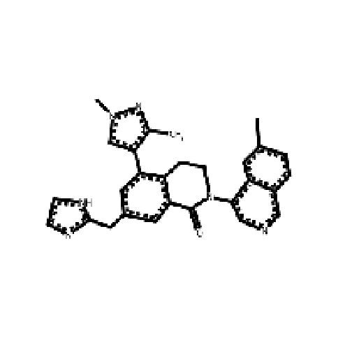 Cc1ccc2cncc(N3CCc4c(cc(Cc5ncc[nH]5)cc4-c4cn(C)nc4C(F)(F)F)C3=O)c2c1